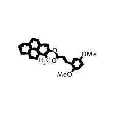 COc1ccc(OC)c(C=CC(=O)Oc2cc3ccc4cccc5ccc(c2C)c3c45)c1